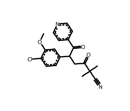 COc1cc(C(CC(=O)C(C)(C)C#N)C(=O)c2ccncc2)ccc1Cl